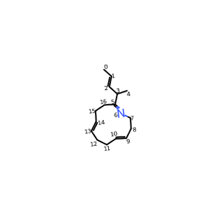 CC=CC(C)/C1=N\CC/C=C/CC/C=C/CC1